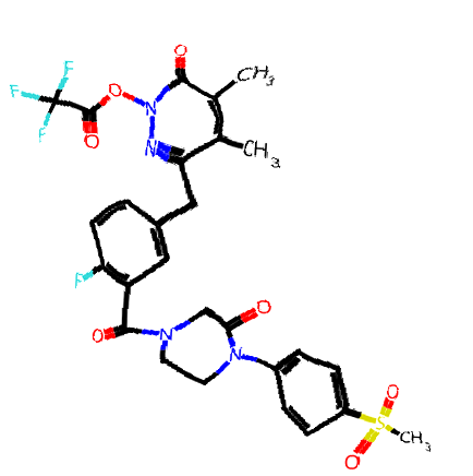 Cc1c(Cc2ccc(F)c(C(=O)N3CCN(c4ccc(S(C)(=O)=O)cc4)C(=O)C3)c2)nn(OC(=O)C(F)(F)F)c(=O)c1C